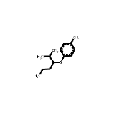 CCC[C](Sc1ccc(C)cc1)C(C)C